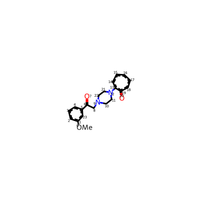 COc1cccc(C(=O)CN2CCN(c3cccccc3=O)CC2)c1